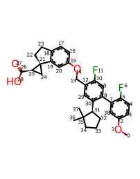 COc1ccc(F)c(-c2cc(F)c(COc3ccc4c(c3)[C@]3(CC4)C[C@H]3C(=O)O)cc2[C@H]2CCCC2(C)C)c1